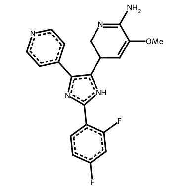 COC1=CC(c2[nH]c(-c3ccc(F)cc3F)nc2-c2ccncc2)CN=C1N